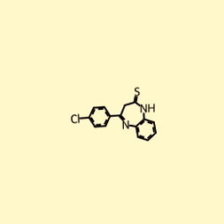 S=C1CC(c2ccc(Cl)cc2)=Nc2ccccc2N1